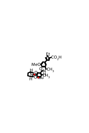 CCn1cc(-c2cc(OC)cc([C@@H](C)NC(=O)c3cc(N4C[C@H]5CC[C@@H](C4)N5C(=O)OC(C)(C)C)ccc3C)c2)cc1C(=O)O